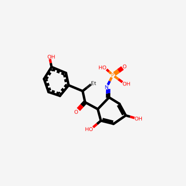 CCC(C(=O)C1C(O)=CC(O)=CC1=NP(=O)(O)O)c1cccc(O)c1